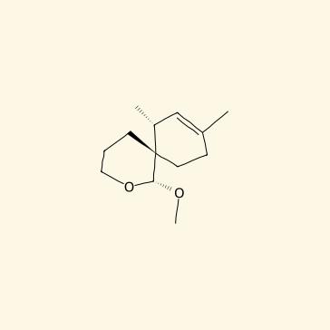 CO[C@@H]1OCCC[C@@]12CCC(C)=C[C@H]2C